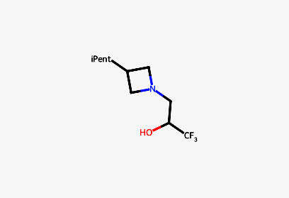 CCCC(C)C1CN(CC(O)C(F)(F)F)C1